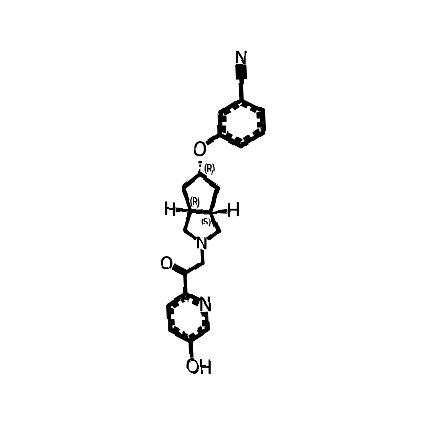 N#Cc1cccc(O[C@@H]2C[C@@H]3CN(CC(=O)c4ccc(O)cn4)C[C@@H]3C2)c1